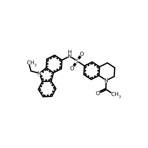 CCn1c2ccccc2c2cc(NS(=O)(=O)c3ccc4c(c3)CCCN4C(C)=O)ccc21